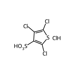 Cl.O=S(=O)(O)c1c(Cl)sc(Cl)c1Cl